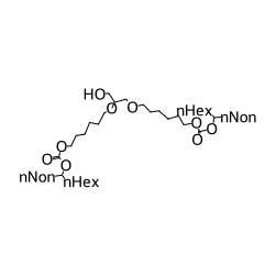 CCCCCCCCCC(CCCCCC)OC(=O)OCCCCCCOCC(CO)OCCCCCCOC(=O)OC(CCCCCC)CCCCCCCCC